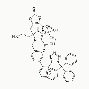 CCCC1(Cc2oc(=O)oc2C)NC(C(C)(C)O)=C(C(=O)O)N1Cc1ccc(-c2ccccc2-c2nnnn2C(c2ccccc2)(c2ccccc2)c2ccccc2)cc1